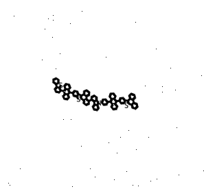 c1ccc2c(c1)sc1c(-c3c4ccccc4c(-c4ccc5c(c4)sc4c6cccc(-c7cccc8c7c7ccccc7n8-c7ccc(-c8c9ccccc9c(-c9ccc%10c(c9)sc9c%11ccccc%11c%11ccccc%11c%109)c9ccccc89)cc7)c6c6ccccc6c54)c4ccccc34)cccc12